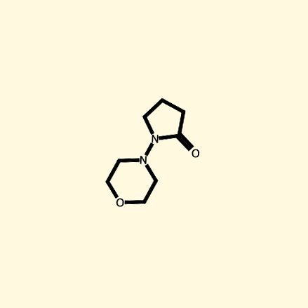 O=C1CCCN1N1CCOCC1